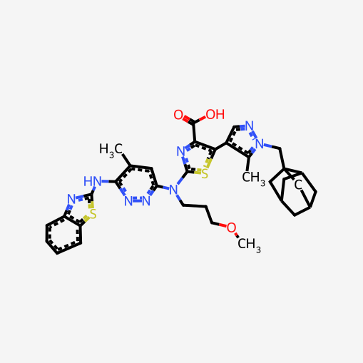 COCCCN(c1cc(C)c(Nc2nc3ccccc3s2)nn1)c1nc(C(=O)O)c(-c2cnn(CC34CC5CC(CC3C5)C4)c2C)s1